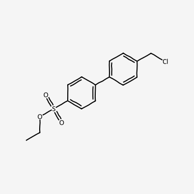 CCOS(=O)(=O)c1ccc(-c2ccc(CCl)cc2)cc1